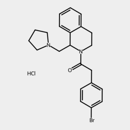 Cl.O=C(Cc1ccc(Br)cc1)N1CCc2ccccc2C1CN1CCCC1